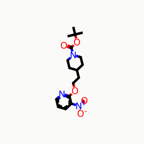 CC(C)(C)OC(=O)N1CCC(CCOc2ncccc2[N+](=O)[O-])CC1